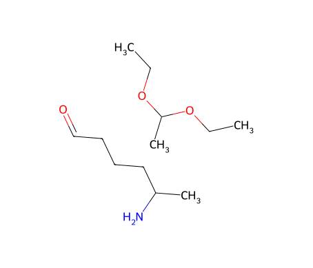 CC(N)CCCC=O.CCOC(C)OCC